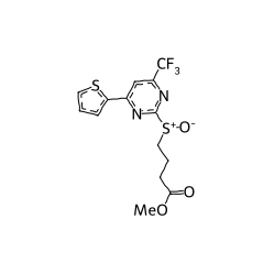 COC(=O)CCC[S+]([O-])c1nc(-c2cccs2)cc(C(F)(F)F)n1